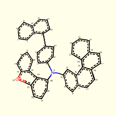 c1ccc2c(-c3ccc(N(c4ccc5ccc6ccc7ccccc7c6c5c4)c4cccc5oc6ccccc6c45)cc3)cccc2c1